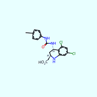 Cc1ccc(NC(=O)N[C@H]2C[C@H](C(=O)O)Nc3cc(Cl)cc(Cl)c32)cc1